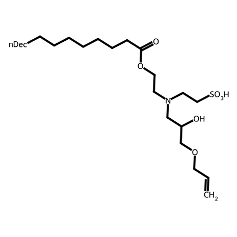 C=CCOCC(O)CN(CCOC(=O)CCCCCCCCCCCCCCCCC)CCS(=O)(=O)O